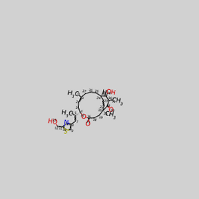 C/C1=C/C[C@@H](/C(C)=C/c2csc(CO)n2)OC(=O)CC[C@@]2(C)C=C[C@@H](CCC1)[C@H](O)[C@@H](C)C2=O